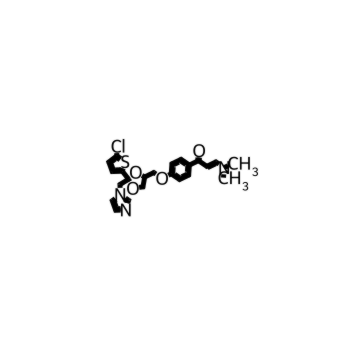 CN(C)C=CC(=O)c1ccc(OCC2COC(Cn3ccnc3)(c3ccc(Cl)s3)O2)cc1